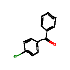 O=C(c1c[c]ccc1)c1ccc(Cl)cc1